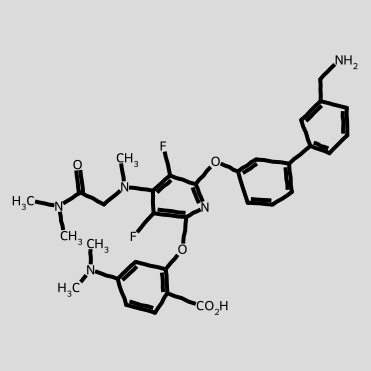 CN(C)C(=O)CN(C)c1c(F)c(Oc2cccc(-c3cccc(CN)c3)c2)nc(Oc2cc(N(C)C)ccc2C(=O)O)c1F